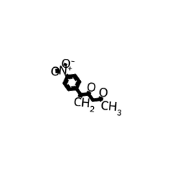 C=C(C(=O)CC(C)=O)c1ccc([N+](=O)[O-])cc1